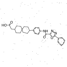 O=C(O)CC1CCC2(CC1)CCC(c1ccc(NC(=O)c3nnc(-c4ccccc4)o3)cc1)CC2